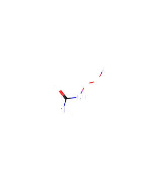 NC(=O)NOOI